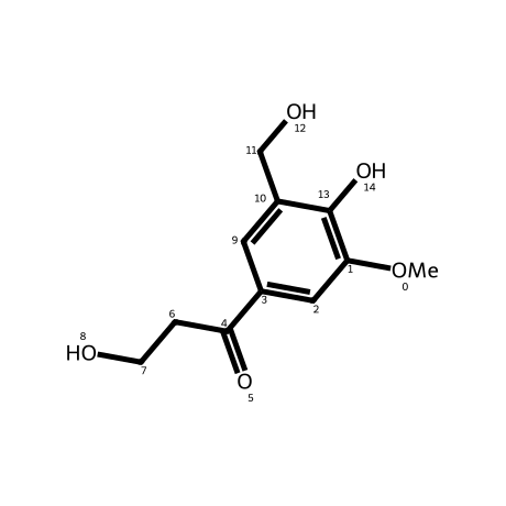 COc1cc(C(=O)CCO)cc(CO)c1O